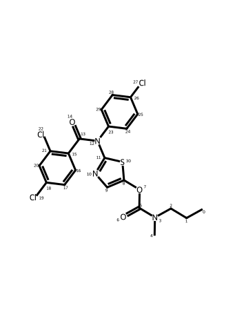 CCCN(C)C(=O)Oc1cnc(N(C(=O)c2ccc(Cl)cc2Cl)c2ccc(Cl)cc2)s1